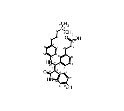 CN(C)CCCc1ccc(N/C(=C2\C(=O)Nc3cc(Cl)ccc32)c2cccc(CCC(=O)O)c2)cc1